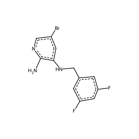 Nc1ncc(Br)cc1NCc1cc(F)cc(F)c1